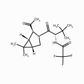 CC(=O)[C@@H]1[C@@H]2[C@H](CN1C(=O)[C@@H](NC(=O)C(F)(F)F)C(C)(C)C)C2(C)C